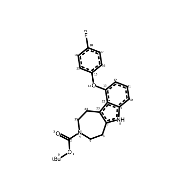 CC(C)(C)OC(=O)N1CCc2[nH]c3cccc(Oc4ccc(F)cc4)c3c2CC1